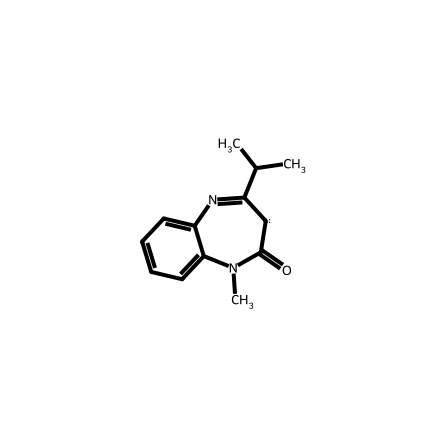 CC(C)C1=Nc2ccccc2N(C)C(=O)[C]1